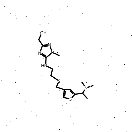 CC(c1cc(CSCCNc2nc(CO)nn2C)cs1)N(C)C